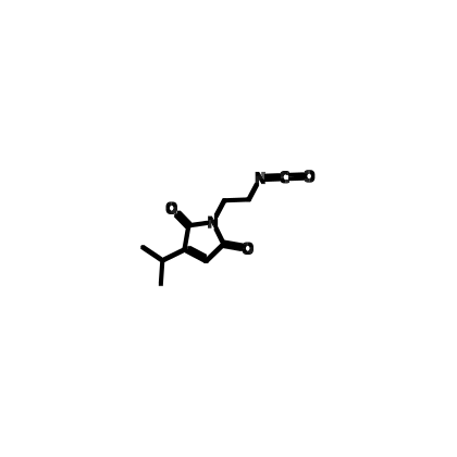 CC(C)C1=CC(=O)N(CCN=C=O)C1=O